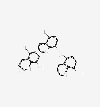 Oc1ccc(Cl)c2cccnc12.Oc1ccc(Cl)c2cccnc12.Oc1ccc(Cl)c2cccnc12.[Ga]